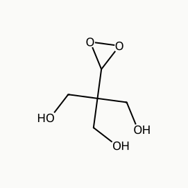 OCC(CO)(CO)C1OO1